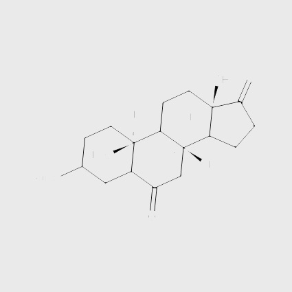 C[C@]12CCC(C=O)CC1C(=O)C[C@@H]1[C@@H]2CC[C@]2(C)C(=O)CC[C@@H]12